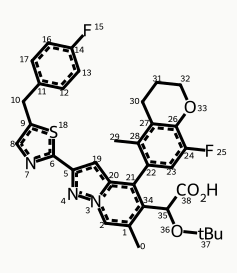 Cc1cn2nc(-c3ncc(Cc4ccc(F)cc4)s3)cc2c(-c2cc(F)c3c(c2C)CCCO3)c1C(OC(C)(C)C)C(=O)O